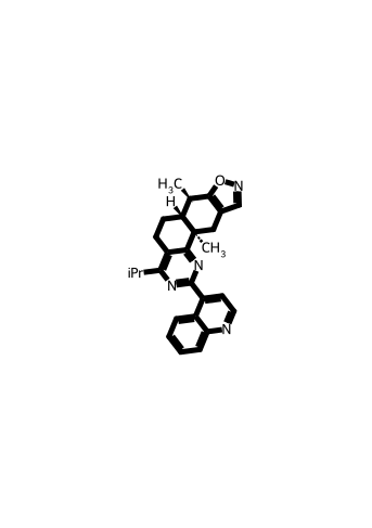 CC(C)c1nc(-c2ccnc3ccccc23)nc2c1CC[C@@H]1[C@@H](C)c3oncc3C[C@@]21C